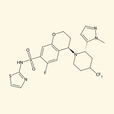 Cn1nccc1[C@@H]1CC(C(F)(F)F)CCN1[C@@H]1CCOc2cc(S(=O)(=O)Nc3nccs3)c(F)cc21